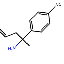 [C-]#[N+]c1ccc(C(C)(N)CC=C)cc1